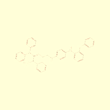 CC(/C(=C\CCNc1ccc(Nc2ccccc2Oc2ccccc2)cc1)N(c1ccccc1)c1ccccc1)C1C=CC=CC1